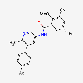 COc1c(C#N)cc(C(C)(C)C)cc1C(=O)Nc1cnc(C)c(-c2ccc(C(C)=O)cc2)c1